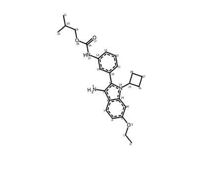 CCOc1ccc2c(N)c(-c3cccc(NC(=O)OCC(C)C)c3)n(C3CCC3)c2c1